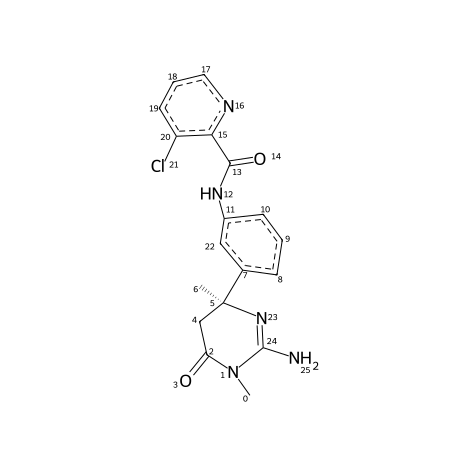 CN1C(=O)C[C@@](C)(c2cccc(NC(=O)c3ncccc3Cl)c2)N=C1N